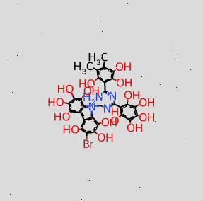 Cc1c(C)c(O)c(/C(N)=N/C(=N\Cn2c3c(O)c(O)c(O)c(O)c3c3c(O)c(Br)c(O)c(O)c32)c2c(O)c(O)c(O)c(O)c2O)c(O)c1O